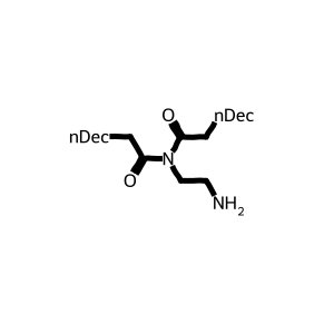 CCCCCCCCCCCC(=O)N(CCN)C(=O)CCCCCCCCCCC